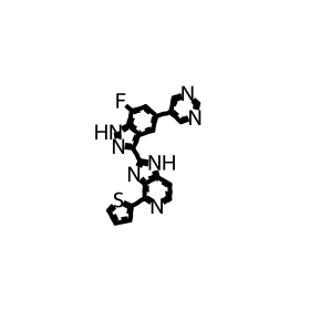 Fc1cc(-c2cncnc2)cc2c(-c3nc4c(-c5cccs5)nccc4[nH]3)n[nH]c12